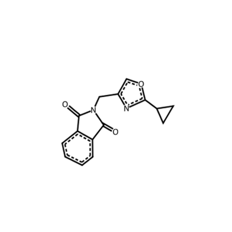 O=C1c2ccccc2C(=O)N1Cc1coc(C2CC2)n1